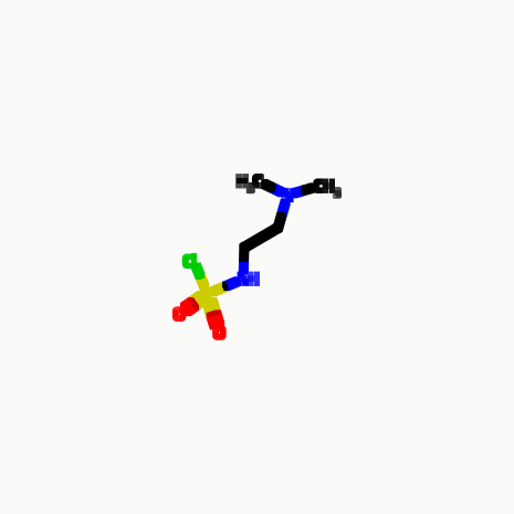 CN(C)CCNS(=O)(=O)Cl